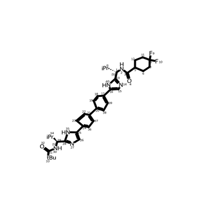 CC(C)[C@H](NC(=O)C1CCC(F)(F)CC1)c1ncc(-c2ccc(-c3ccc(-c4cnc([C@@H](NC(=O)C(C)(C)C)C(C)C)[nH]4)cc3)cc2)[nH]1